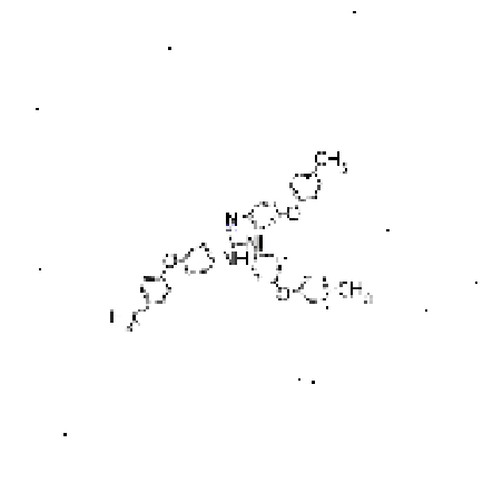 Cc1ccc(Oc2ccc(/N=C\C(Nc3ccc(Oc4ccc(C)cc4)cc3)Nc3ccc(Oc4ccc(C)cc4)cc3)cc2)cc1